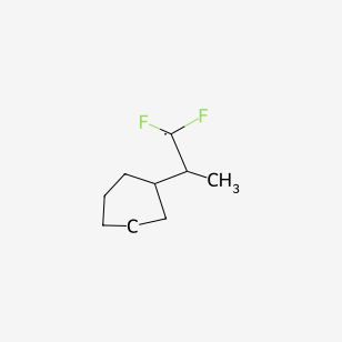 CC([C](F)F)C1CCCCC1